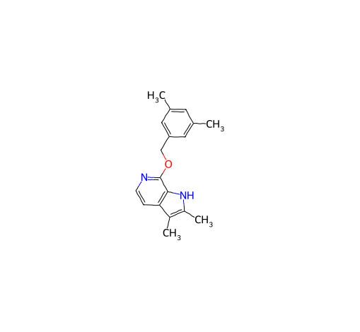 Cc1cc(C)cc(COc2nccc3c(C)c(C)[nH]c23)c1